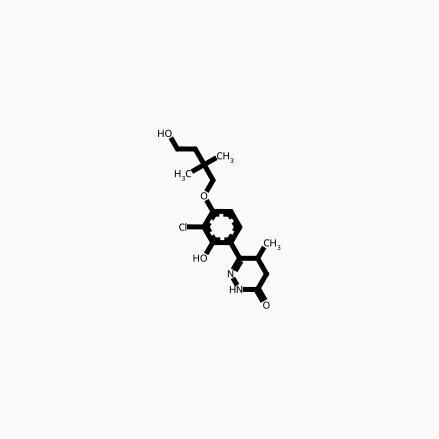 CC1CC(=O)NN=C1c1ccc(OCC(C)(C)CCO)c(Cl)c1O